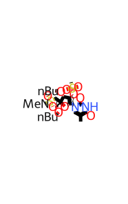 CCCCOC[C@]1(CS(=O)(=O)NC)O[C@@H](n2cc(C)c(=O)[nH]c2=O)[C@@H](OS(C)(=O)=O)C1OCCCC